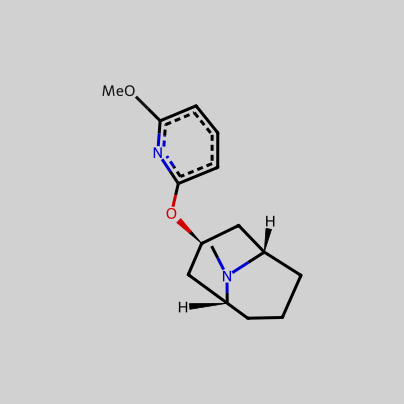 COc1cccc(O[C@@H]2C[C@H]3CCC[C@@H](C2)N3C)n1